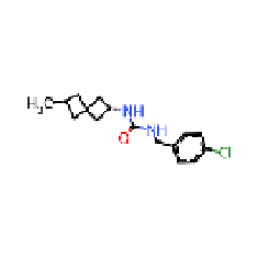 C[C@H]1CC2(C1)C[C@@H](NC(=O)NCc1ccc(Cl)cc1)C2